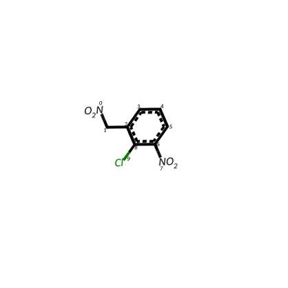 O=[N+]([O-])Cc1cccc([N+](=O)[O-])c1Cl